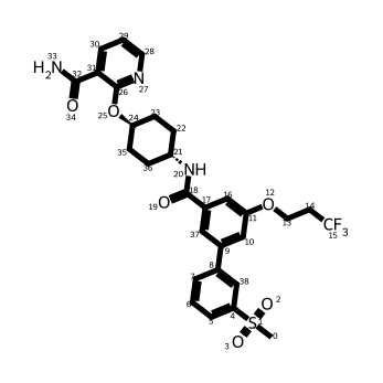 CS(=O)(=O)c1cccc(-c2cc(OCCC(F)(F)F)cc(C(=O)N[C@H]3CC[C@H](Oc4ncccc4C(N)=O)CC3)c2)c1